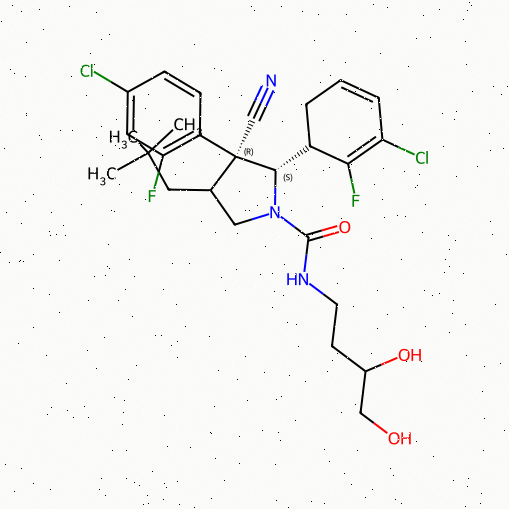 CC(C)(C)CC1CN(C(=O)NCCC(O)CO)[C@@H](C2CC=CC(Cl)=C2F)[C@]1(C#N)c1ccc(Cl)cc1F